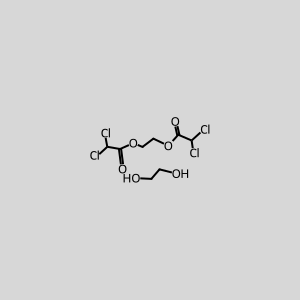 O=C(OCCOC(=O)C(Cl)Cl)C(Cl)Cl.OCCO